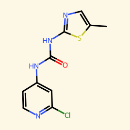 Cc1cnc(NC(=O)Nc2ccnc(Cl)c2)s1